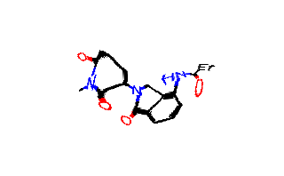 CCC(=O)Nc1cccc2c1CN(C1CCC(=O)N(C)C1=O)C2=O